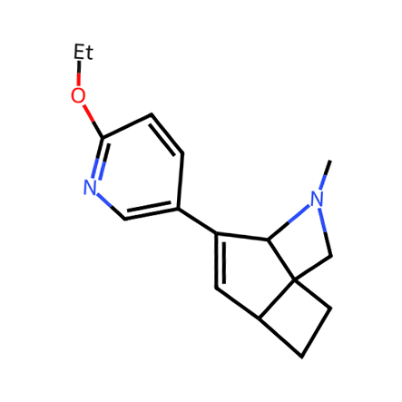 CCOc1ccc(C2=CC3CCC34CN(C)C24)cn1